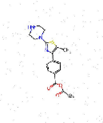 Cc1sc(N2CCNCC2)nc1-c1ccc(C(=O)OC(=O)C(C)(C)C)cc1